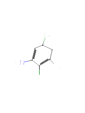 NC1=CC(Br)CC(C(=O)O)=C1F